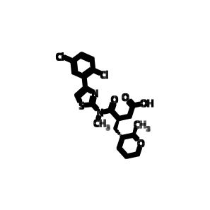 C[C@H]1OCCC[C@@H]1C[C@H](CC(=O)O)C(=O)N(C)c1nc(-c2cc(Cl)ccc2Cl)cs1